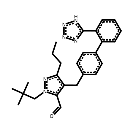 CCCc1nn(CC(C)(C)C)c(C=O)c1Cc1ccc(-c2ccccc2-c2nnn[nH]2)cc1